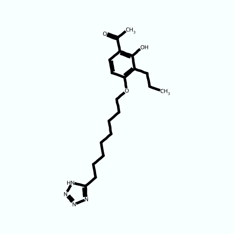 CCCc1c(OCCCCCCCCc2nnn[nH]2)ccc(C(C)=O)c1O